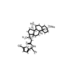 CO[C@@H]1CCC2(C)C(C1)C[C@@H](O)C1[C@@H]2CCC2(C)C([C@H](C)CC(=O)NC(c3ccc(Cl)s3)C(C)C)CC[C@@H]12